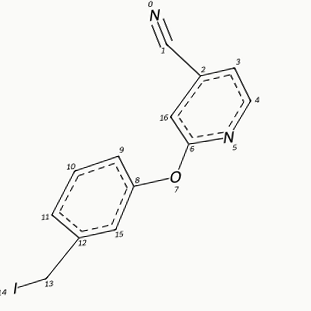 N#Cc1ccnc(Oc2cccc(CI)c2)c1